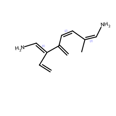 C=C/C(=C\N)C(=C)/C=C\C(C)=C/N